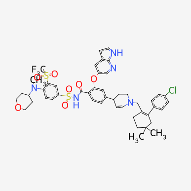 CN(c1ccc(S(=O)(=O)NC(=O)c2ccc(C3C=CN(CC4=C(c5ccc(Cl)cc5)CC(C)(C)CC4)CC3)cc2Oc2cnc3[nH]ccc3c2)cc1S(=O)(=O)C(F)(F)F)C1CCOCC1